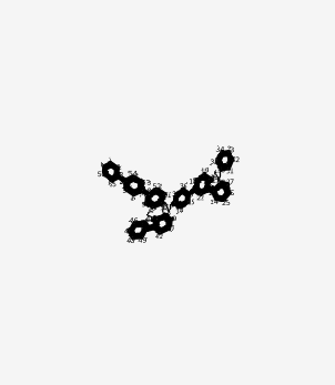 c1ccc(-c2ccc(-c3ccc(N(c4ccc(-c5ccc6c(c5)c5ccccc5n6-c5ccccc5)cc4)c4cccc5c4sc4ccccc45)cc3)cc2)cc1